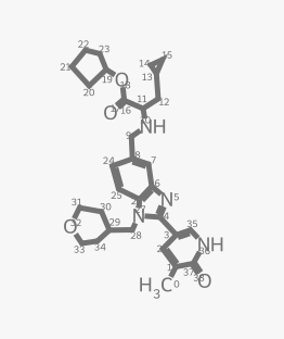 Cc1cc(-c2nc3cc(CNC(CC4CC4)C(=O)OC4CCCC4)ccc3n2CC2CCOCC2)c[nH]c1=O